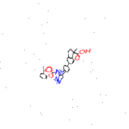 C[C@@H](OC(=O)Nc1c(-c2ccc(-c3ccc4c(c3)CCC4(C)C(=O)O)cc2)cnn1C)c1ccccc1